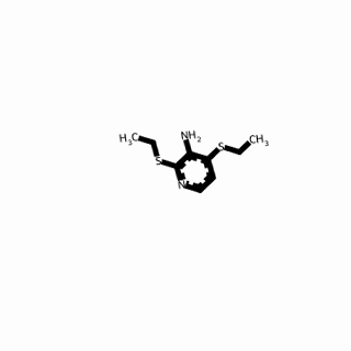 CCSc1ccnc(SCC)c1N